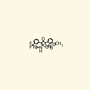 COc1cccc(C2OC(NC3CC3)=C(c3cccc(C(F)(F)F)c3)C2=O)c1[N+](=O)[O-]